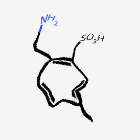 Cc1ccc(CN)c(S(=O)(=O)O)c1